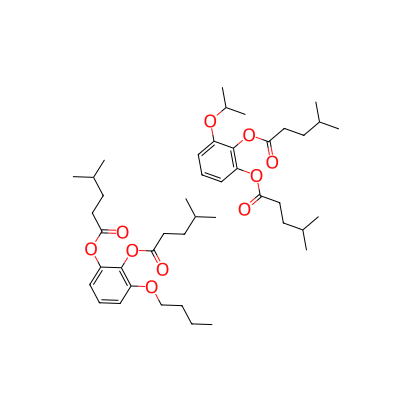 CC(C)CCC(=O)Oc1cccc(OC(C)C)c1OC(=O)CCC(C)C.CCCCOc1cccc(OC(=O)CCC(C)C)c1OC(=O)CCC(C)C